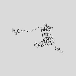 CCCCCCCCCCCCC(NC(=O)C(CCCCCCCC)NC(=O)OC(C)(C)C)C(=O)O